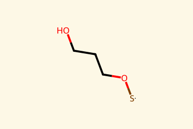 OCCCO[S]